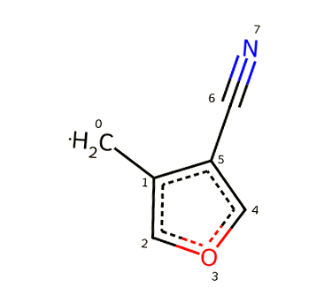 [CH2]c1cocc1C#N